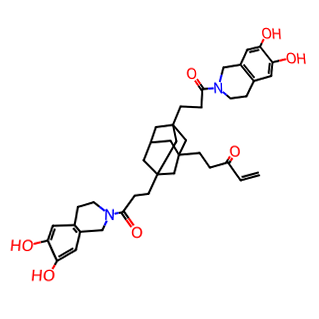 C=CC(=O)CCC12CC3CC(CCC(=O)N4CCc5cc(O)c(O)cc5C4)(C1)CC(CCC(=O)N1CCc4cc(O)c(O)cc4C1)(C3)C2